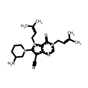 CC(C)=CCn1cnc2c(C#N)c(N3CCCC(N)C3)n(CC=C(C)C)c2c1=O